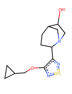 OC1CN2CC1CCC2c1nsnc1OCC1CC1